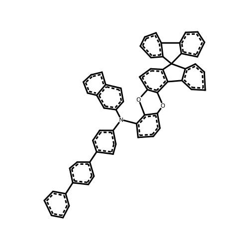 c1ccc(-c2ccc(-c3ccc(N(c4ccc5ccccc5c4)c4cccc5c4Oc4ccc6c(c4O5)-c4ccccc4C64c5ccccc5-c5ccccc54)cc3)cc2)cc1